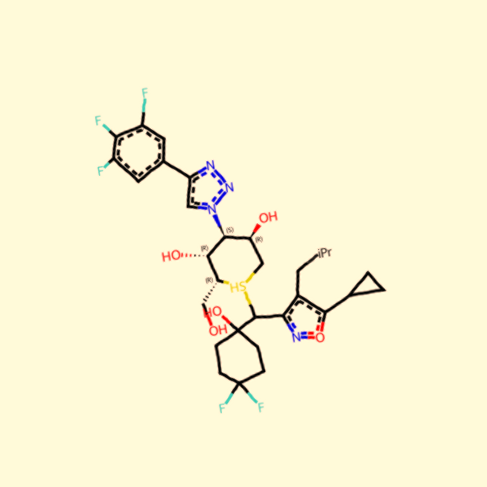 CC(C)Cc1c(C([SH]2C[C@H](O)[C@H](n3cc(-c4cc(F)c(F)c(F)c4)nn3)[C@@H](O)[C@H]2CO)C2(O)CCC(F)(F)CC2)noc1C1CC1